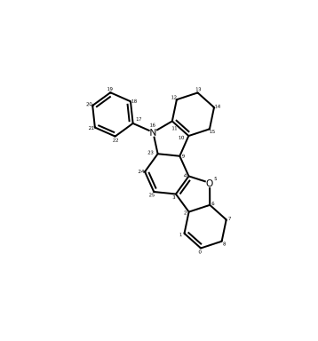 C1=CC2C3=C(OC2CC1)C1C2=C(CCCC2)N(c2ccccc2)C1C=C3